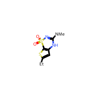 CCc1cc2c(s1)S(=O)(=O)N=C(NC)N2